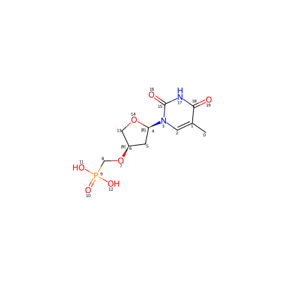 Cc1cn([C@H]2C[C@@H](OCP(=O)(O)O)CO2)c(=O)[nH]c1=O